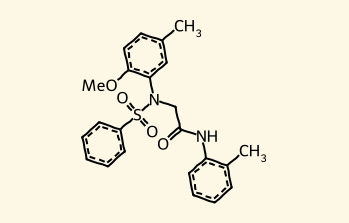 COc1ccc(C)cc1N(CC(=O)Nc1ccccc1C)S(=O)(=O)c1ccccc1